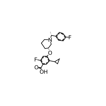 C[C@H](c1ccc(F)cc1)N1CCC[C@@H](Oc2cc(F)c(C(=O)O)cc2C2CC2)C1